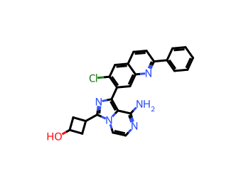 Nc1nccn2c(C3CC(O)C3)nc(-c3cc4nc(-c5ccccc5)ccc4cc3Cl)c12